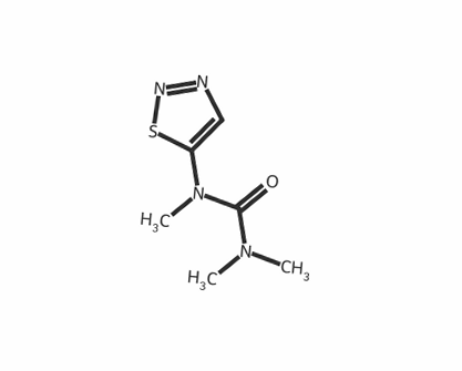 CN(C)C(=O)N(C)c1cnns1